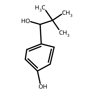 CC(C)(C)C(O)c1ccc(O)cc1